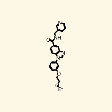 CCOCCOc1cccc(-n2cnc3cc(C(=O)NCc4cccnc4)ccc32)c1